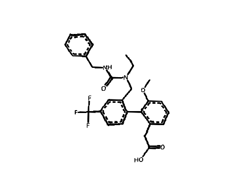 CCN(Cc1cc(C(F)(F)F)ccc1-c1c(CC(=O)O)cccc1OC)C(=O)NCc1ccccc1